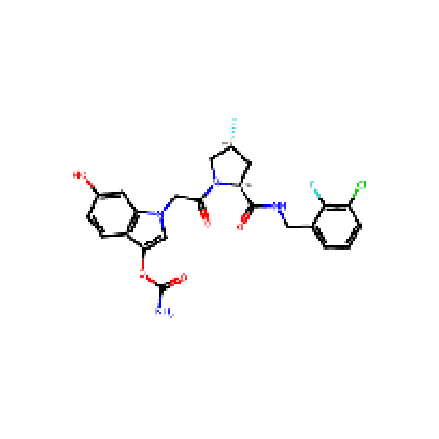 NC(=O)Oc1cn(CC(=O)N2C[C@H](F)C[C@H]2C(=O)NCc2cccc(Cl)c2F)c2cc(O)ccc12